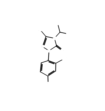 CC(C)n1c(Cl)nn(-c2ccc(Cl)cc2F)c1=O